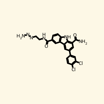 NN=NCCNC(=O)c1ccc2[nH]c3c(C(N)=O)cc(-c4ccc(Cl)c(Cl)c4)cc3c2c1